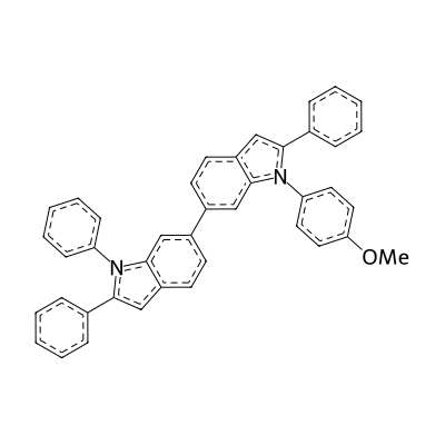 COc1ccc(-n2c(-c3ccccc3)cc3ccc(-c4ccc5cc(-c6ccccc6)n(-c6ccccc6)c5c4)cc32)cc1